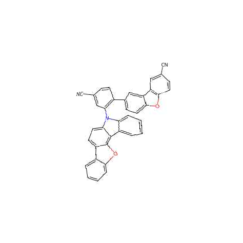 N#Cc1ccc(-c2ccc3oc4ccc(C#N)cc4c3c2)c(-n2c3ccccc3c3c4oc5ccccc5c4ccc32)c1